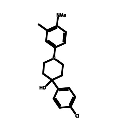 CNc1ccc(N2CCC(O)(c3ccc(Cl)cc3)CC2)cc1C